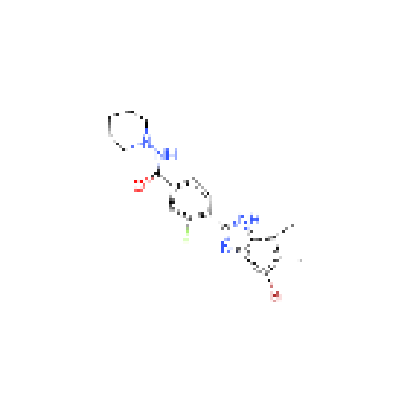 Cc1c(Br)cc2nc(-c3ccc(C(=O)NN4CCCCC4)cc3F)[nH]c2c1C